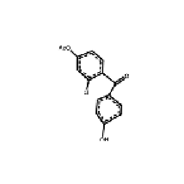 CC(=O)Oc1ccc(C(=O)c2ccc(O)cc2)c(Cl)c1